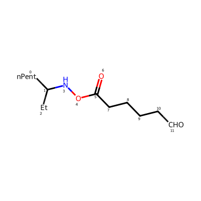 CCCCCC(CC)NOC(=O)CCCCC=O